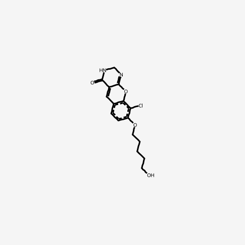 O=C1NCN=C2Oc3c(ccc(OCCCCCO)c3Cl)C=C12